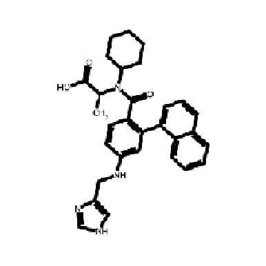 C[C@@H](C(=O)O)N(C(=O)c1ccc(NCc2c[nH]cn2)cc1-c1cccc2ccccc12)C1CCCCC1